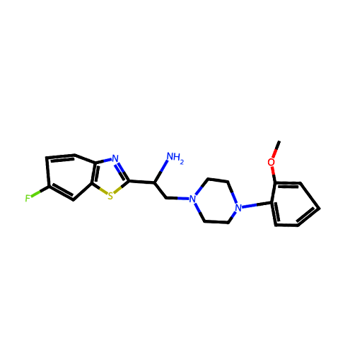 COc1ccccc1N1CCN(CC(N)c2nc3ccc(F)cc3s2)CC1